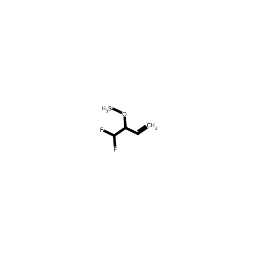 C=CC(O[SiH3])C(F)F